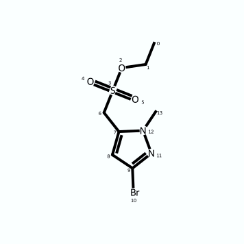 CCOS(=O)(=O)Cc1cc(Br)nn1C